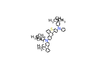 CC1(C)c2ccccc2-c2ccc(N(c3ccc([Si](C)(C)C)cc3)c3ccc4cc5c6c(cccc6c4c3)Sc3cc(N(c4ccccc4)c4ccc([Si](C)(C)C)cc4)ccc3-5)cc21